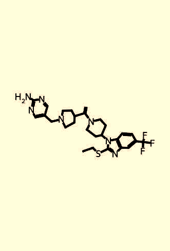 C=C(C1CCN(Cc2cnc(N)nc2)CC1)N1CCC(n2c(SCC)nc3cc(C(F)(F)F)ccc32)CC1